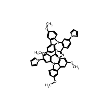 COc1ccc2c(c1)c1cc(OC)ccc1n2-c1cc(-n2cccc2)ccc1-c1nnc(-c2ccc(-n3cccc3)cc2-n2c3ccc(OC)cc3c3cc(OC)ccc32)o1